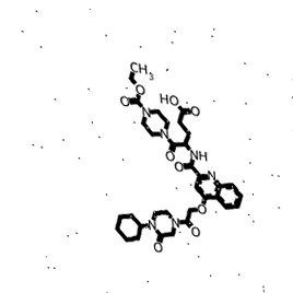 CCOC(=O)N1CCN(C(=O)C(CCC(=O)O)NC(=O)c2cc(OCC(=O)N3CCN(C4CCCCC4)C(=O)C3)c3ccccc3n2)CC1